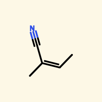 CC=C(C)C#N